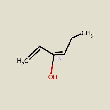 C=C/C(O)=C\CC